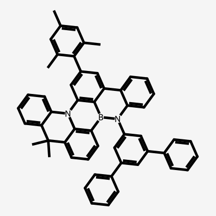 Cc1cc(C)c(-c2cc3c4c(c2)N2c5ccccc5C(C)(C)c5cccc(c52)B4N(c2cc(-c4ccccc4)cc(-c4ccccc4)c2)c2ccccc2-3)c(C)c1